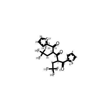 O=C(c1cccs1)C(CC(F)(F)F)C(=O)C(CC(F)(F)F)C(=O)c1cccs1